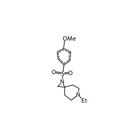 CCN1CCC2(CC1)CN2S(=O)(=O)c1ccc(OC)cc1